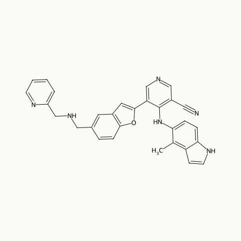 Cc1c(Nc2c(C#N)cncc2-c2cc3cc(CNCc4ccccn4)ccc3o2)ccc2[nH]ccc12